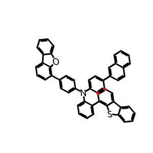 c1ccc(N(c2ccc(-c3ccc4ccccc4c3)cc2)c2ccc(-c3cccc4c3oc3ccccc34)cc2)c(-c2cccc3c2sc2ccccc23)c1